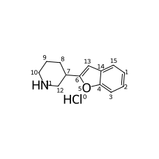 Cl.c1ccc2oc(C3CCCNC3)cc2c1